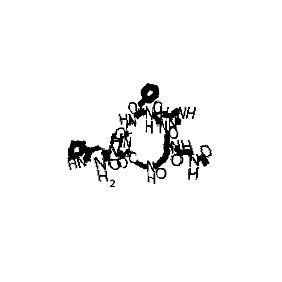 CC(=O)NCC(=O)N[C@H]1CCC(=O)NCCC[C@@H](C(=O)N[C@@H](Cc2c[nH]c3ccccc23)C(N)=O)NC(=O)CNC(=O)[C@@H](Cc2ccccc2)NC(=O)[C@H](Cc2c[nH]cn2)NC1=O